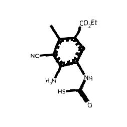 CCOC(=O)c1cc(NC(=O)S)c(N)c(C#N)c1C